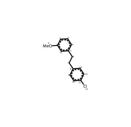 COc1cccc([CH]Cc2ccc(Cl)cc2)c1